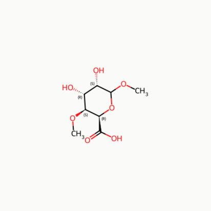 COC1O[C@@H](C(=O)O)[C@@H](OC)[C@H](O)[C@@H]1O